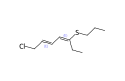 CCCS/C(=C/C=C/CCl)CC